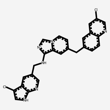 Clc1cnc2ccc(Cc3ccn4cnc(NCc5cnc6[nH]cc(Cl)c6c5)c4c3)cc2c1